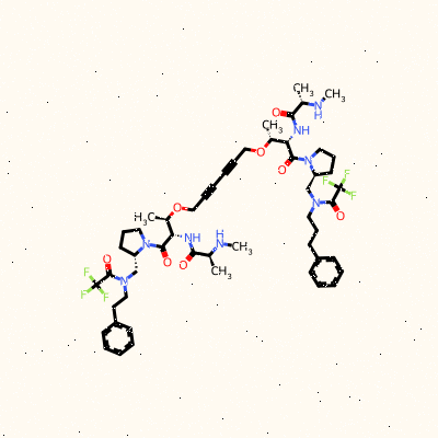 CN[C@@H](C)C(=O)N[C@H](C(=O)N1CCC[C@H]1CN(CCCc1ccccc1)C(=O)C(F)(F)F)[C@@H](C)OCC#CC#CCO[C@H](C)[C@H](NC(=O)[C@H](C)NC)C(=O)N1CCC[C@H]1CN(CCc1ccccc1)C(=O)C(F)(F)F